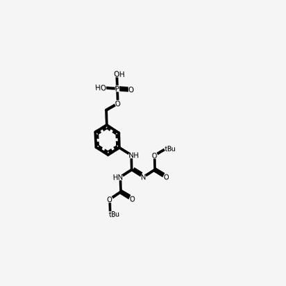 CC(C)(C)OC(=O)N=C(NC(=O)OC(C)(C)C)Nc1cccc(COP(=O)(O)O)c1